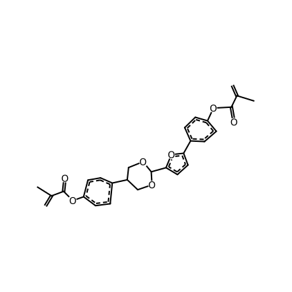 C=C(C)C(=O)Oc1ccc(-c2ccc(C3OCC(c4ccc(OC(=O)C(=C)C)cc4)CO3)o2)cc1